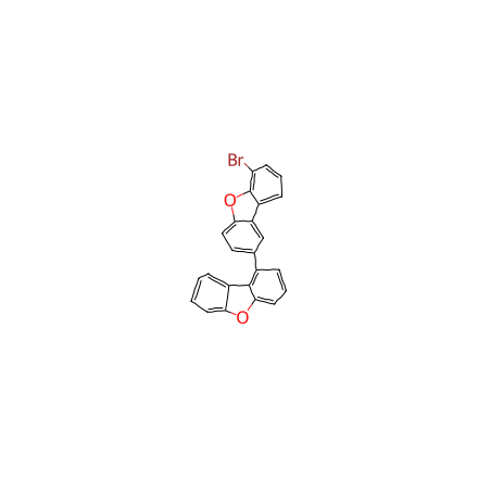 Brc1cccc2c1oc1ccc(-c3cccc4oc5ccccc5c34)cc12